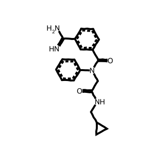 N=C(N)c1cccc(C(=O)N(CC(=O)NCC2CC2)c2ccccc2)c1